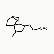 CC(=O)OCCC1CC(C)C23CCC(CC12)C3